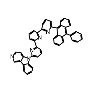 c1ccc(-c2c3ccccc3c(-c3cccc(-c4cccc(-c5cccc(-n6c7ccccc7c7cnccc76)n5)n4)n3)c3ccccc23)cc1